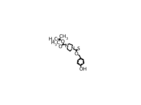 CC(C)(C)OC(=O)N1CCN(C(=S)OCc2ccc(O)cc2)CC1